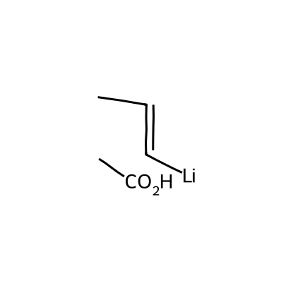 CC(=O)O.[Li][CH]=CC